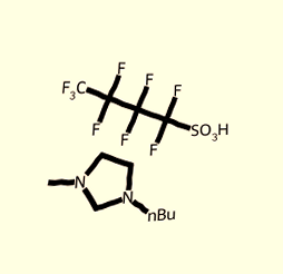 CCCCN1CCN(C)C1.O=S(=O)(O)C(F)(F)C(F)(F)C(F)(F)C(F)(F)F